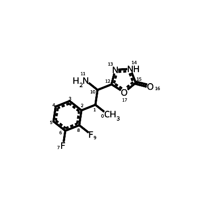 CC(c1cccc(F)c1F)C(N)c1n[nH]c(=O)o1